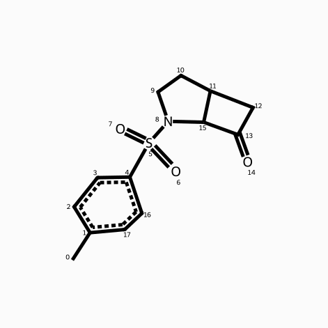 Cc1ccc(S(=O)(=O)N2CCC3CC(=O)C32)cc1